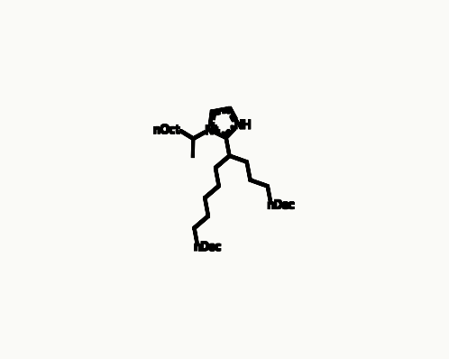 CCCCCCCCCCCCCCCC(CCCCCCCCCCCCC)c1[nH]cc[n+]1C(C)CCCCCCCC